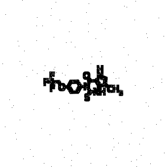 Cc1c[nH]c2c(=O)n(-c3ccc(OCC(F)(F)F)cc3)c(=S)[nH]c12